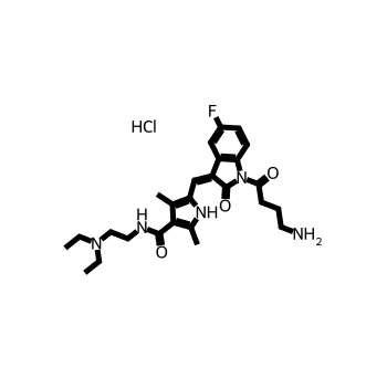 CCN(CC)CCNC(=O)c1c(C)[nH]c(C=C2C(=O)N(C(=O)CCCN)c3ccc(F)cc32)c1C.Cl